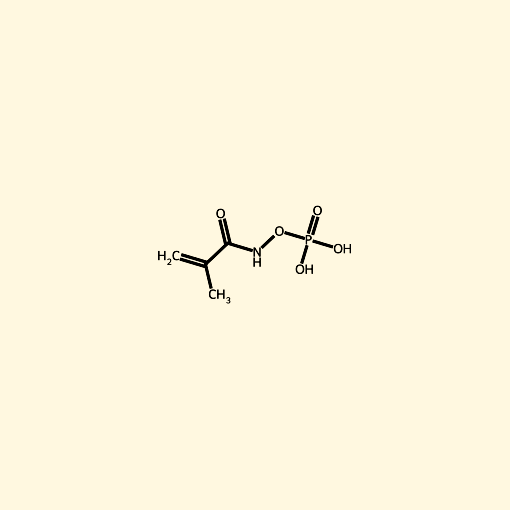 C=C(C)C(=O)NOP(=O)(O)O